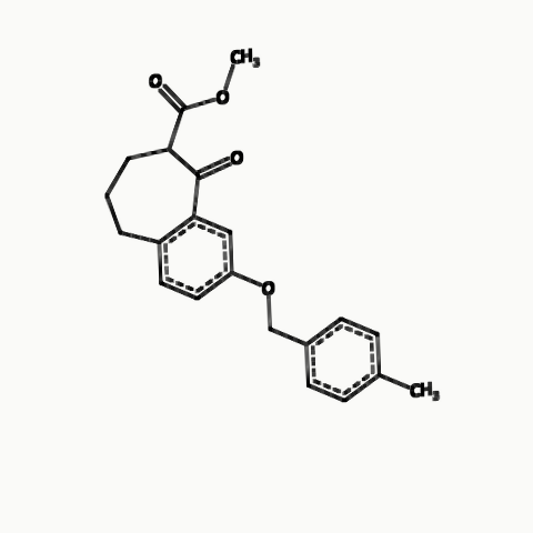 COC(=O)C1CCCc2ccc(OCc3ccc(C)cc3)cc2C1=O